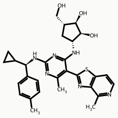 Cc1ccc([C@H](Nc2nc(C)c(-c3nc4c(C)nccc4s3)c(N[C@@H]3C[C@H](CO)[C@@H](O)[C@H]3O)n2)C2CC2)cc1